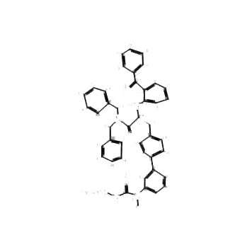 CCCCCCCNC(=O)N(C)c1cccc(-c2ccc(C[C@H](Nc3ccccc3C(=O)c3ccccc3)C(=O)N(Cc3ccccc3)Cc3ccccc3)cc2)c1